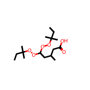 CCC(C)(C)OOC(CC(C)CC(=O)O)OOC(C)(C)CC